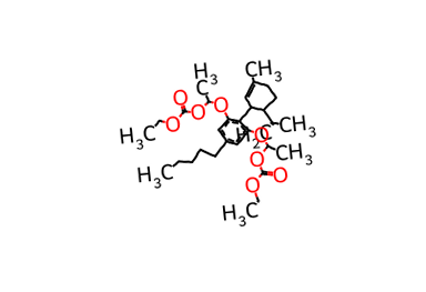 C=C(C)C1CCC(C)=CC1c1c(OC(C)OC(=O)OCC)cc(CCCCC)cc1OC(C)OC(=O)OCC